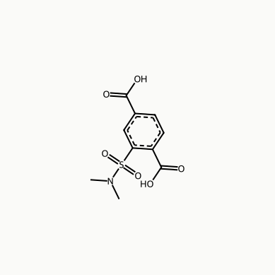 CN(C)S(=O)(=O)c1cc(C(=O)O)ccc1C(=O)O